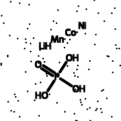 O=P(O)(O)O.[Co].[LiH].[Mn].[Ni]